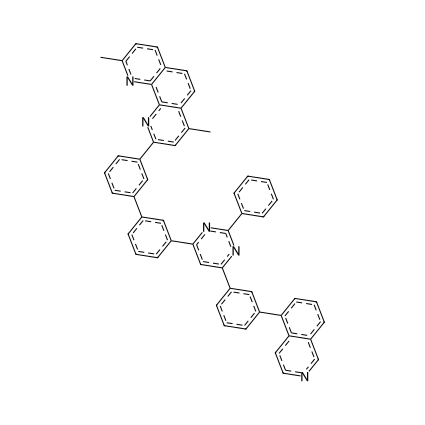 Cc1ccc2ccc3c(C)cc(-c4cccc(-c5cccc(-c6cc(-c7cccc(-c8cccc9cnccc89)c7)nc(-c7ccccc7)n6)c5)c4)nc3c2n1